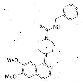 COc1cc2ccnc(N3CCN(C(=S)NCc4ccccc4)CC3)c2cc1OC